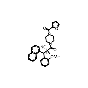 COc1ccccc1C(c1cccc2ccccc12)[C@@](C)(C#N)C(=O)N1CCN(C(=O)c2ccco2)CC1